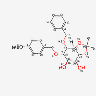 COc1ccc(CO[C@@H]2C(OCc3ccccc3)[C@H]3OC(C)(C)OC3[C@@H](O)[C@H]2O)cc1